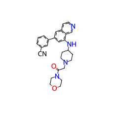 N#Cc1cccc(-c2cc(NC3CCN(CC(=O)N4CCOCC4)CC3)c3cnccc3c2)c1